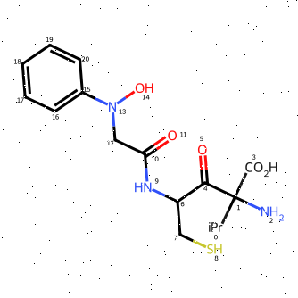 CC(C)C(N)(C(=O)O)C(=O)C(CS)NC(=O)CN(O)c1ccccc1